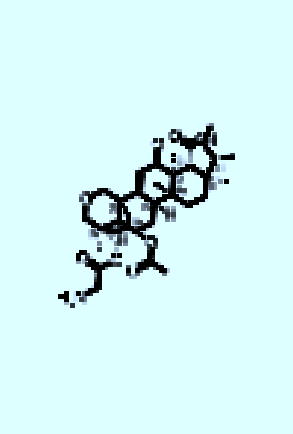 CC(=O)O[C@@H]1C[C@]23COC[C@@](C)([C@@H]2CC[C@H]2C3=CC(=O)[C@@]3(C)[C@H](C(=O)O)[C@@](C)([C@H](C)C(C)C)CC[C@]23C)[C@H]1OC(=O)CN